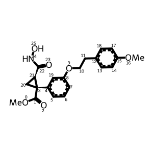 COC(=O)[C@]1(c2cccc(OCCc3ccc(OC)cc3)c2)C[C@H]1C(=O)NO